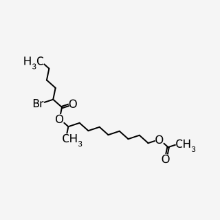 CCCCC(Br)C(=O)OC(C)CCCCCCCCOC(C)=O